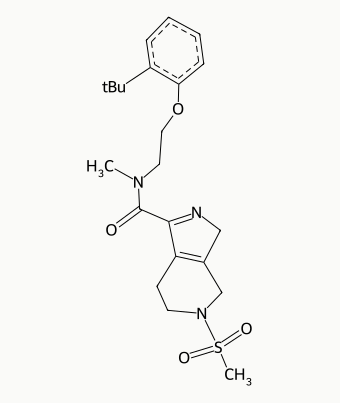 CN(CCOc1ccccc1C(C)(C)C)C(=O)C1=NCC2=C1CCN(S(C)(=O)=O)C2